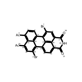 CC(=O)c1ccc2c3c(Br)cc4c5c(ccc(c6c(Br)cc(C(C)=O)c1c26)c53)C(=O)NC4=O